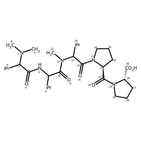 CC(C)C(NC(=O)C(C(C)C)N(C)C)C(=O)N(C)C(C(=O)N1CCC[C@H]1C(=O)N1CCC[C@H]1C(=O)O)C(C)C